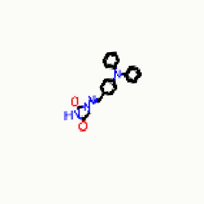 O=C1CN(/N=C/c2ccc(N(c3ccccc3)c3ccccc3)cc2)C(=O)N1